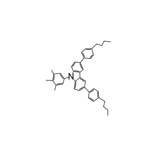 CCCCc1ccc(-c2ccc3c(c2)c2cc(-c4ccc(CCCC)cc4)ccc2n3-c2cc(C)c(C)c(C)c2)cc1